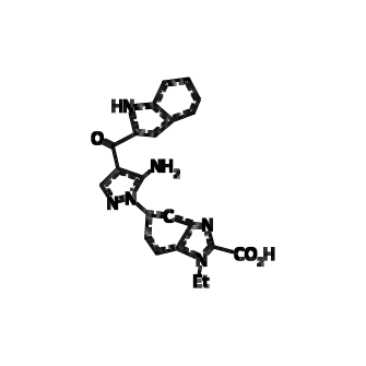 CCn1c(C(=O)O)nc2cc(-n3ncc(C(=O)c4cc5ccccc5[nH]4)c3N)ccc21